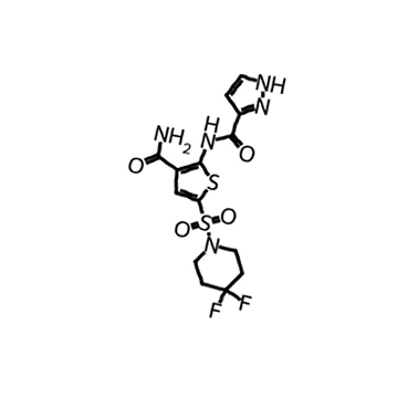 NC(=O)c1cc(S(=O)(=O)N2CCC(F)(F)CC2)sc1NC(=O)c1cc[nH]n1